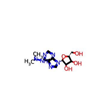 CN(C)Nc1ncnc2c1ncn2[C@@H]1O[C@H](CO)C(O)C1O